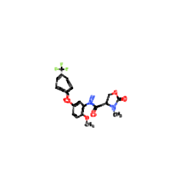 COc1ccc(Oc2ccc(C(F)(F)F)cc2)cc1NC(=O)C1COC(=O)N1C